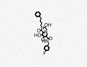 O=C(NCc1ccc(F)cc1)c1cn2c(c(O)c1=O)C(=O)N(CCCCc1ccccc1)C(O)C2